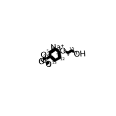 O=S(=O)([O-])c1ccc(OCCO)cc1.[Na+]